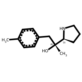 Cc1ccc(C[C@@](C)(O)[C@@H]2CCCN2)cc1